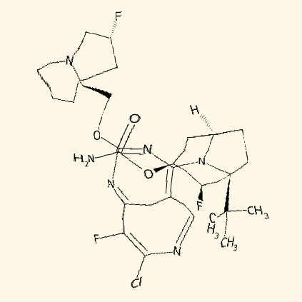 CC(C)(C)[C@@]12CC[C@H](C[C@H](OC(N)=O)[C@@H]1F)N2c1nc(OC[C@@]23CCCN2C[C@H](F)C3)nc2c(F)c(Cl)ncc12